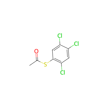 CC(=O)Sc1cc(Cl)c(Cl)cc1Cl